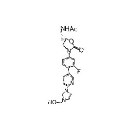 CC(=O)NC[C@H]1CN(c2ccc(-c3ccc(N4C=CN(CO)C4)nc3)c(F)c2)C(=O)O1